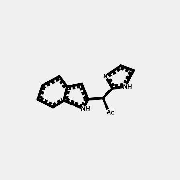 CC(=O)C(c1cc2ccccc2[nH]1)c1ncc[nH]1